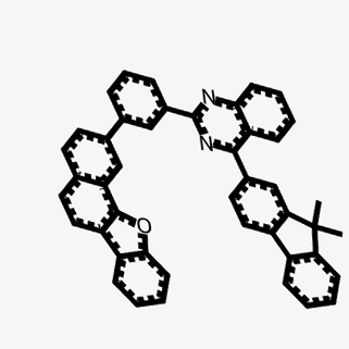 CC1(C)c2ccccc2-c2ccc(-c3nc(-c4cccc(-c5ccc6ccc7c8ccccc8oc7c6c5)c4)nc4ccccc34)cc21